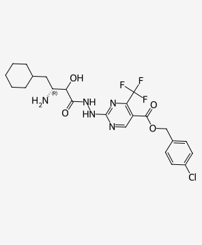 N[C@H](CC1CCCCC1)C(O)C(=O)NNc1ncc(C(=O)OCc2ccc(Cl)cc2)c(C(F)(F)F)n1